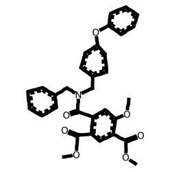 COC(=O)c1cc(C(=O)OC)c(C(=O)N(Cc2ccccc2)Cc2ccc(Oc3ccccc3)cc2)cc1OC